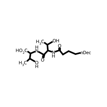 CCCCCCCCCCCCCC(=O)NC(C(=O)NC(C(=O)O)C(C)O)C(C)O